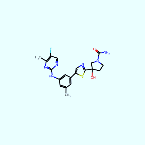 Cc1cc(Nc2ncc(F)c(C)n2)cc(-c2cnc(C3(O)CCN(C(N)=O)C3)s2)c1